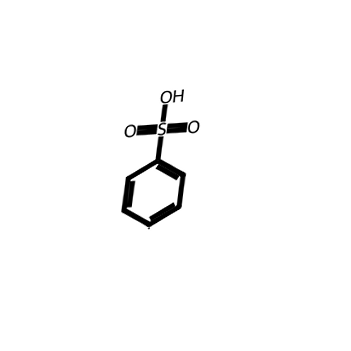 O=S(=O)(O)c1cc[c]cc1